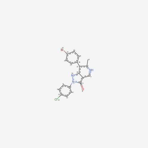 Cc1[nH]cc2c(=O)n(-c3ccc(Cl)cc3)nc-2c1-c1ccc(Br)cc1